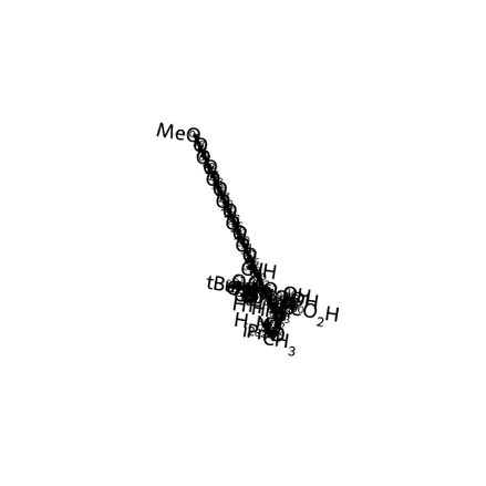 COCCOCCOCCOCCOCCOCCOCCOCCOCCOCCOCCOCCC(=O)NCCCC[C@H](NC(=O)C(CNC(=O)OC(C)(C)C)N1C(=O)C=CC1=O)C(=O)NCCC(=O)Nc1cc(COC(=O)N(C)[C@H](C(N)=O)C(C)C)ccc1O[C@@H]1O[C@H](C(=O)O)[C@@H](O)[C@H](O)[C@H]1O